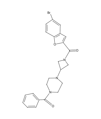 O=C(c1ccccc1)N1CCN(C2CN(C(=O)c3cc4cc(Br)ccc4o3)C2)CC1